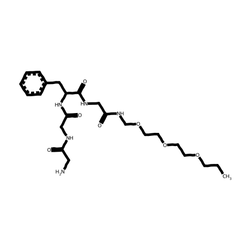 CCCOCCOCCOCNC(=O)CNC(=O)C(Cc1ccccc1)NC(=O)CNC(=O)CN